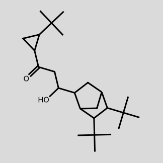 CC(C)(C)C1CC1C(=O)CC(O)C1CC2CC1C(C(C)(C)C)C2C(C)(C)C